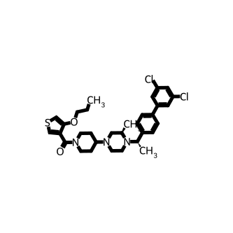 CCCOc1cscc1C(=O)N1CCC(N2CCN([C@@H](C)c3ccc(-c4cc(Cl)cc(Cl)c4)cc3)[C@H](C)C2)CC1